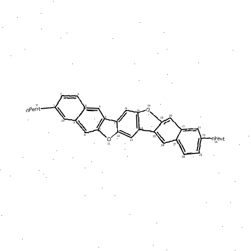 CCCCCc1ccc2cc3c(cc2c1)oc1cc2c(cc13)oc1cc3cc(CCCCC)ccc3cc12